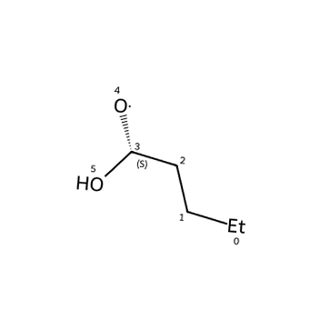 CCCC[C@@H]([O])O